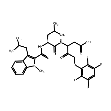 CC(C)Cc1c(C(=O)N[C@@H](CC(C)C)C(=O)NC(CC(=O)O)C(=O)COc2c(F)c(F)cc(F)c2F)n(C)c2ccccc12